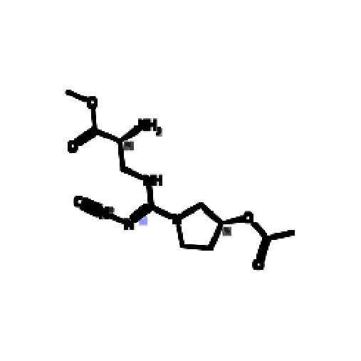 [C-]#[N+]/N=C(\NC[C@H](N)C(=O)OC)N1CC[C@H](OC(C)=O)C1